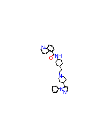 O=C(N[C@H]1CC[C@H](CCN2CCC(c3ccnn3-c3ccccc3)CC2)CC1)c1cccc2ncccc12